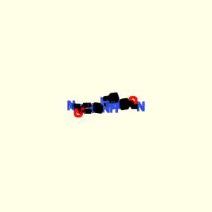 N#CCC(=O)c1ccc(Nc2cccc3cnc(Nc4ccc(N5CCN(C(=O)CC#N)CC5)cc4)nc23)cc1